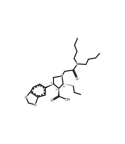 CCCCN(CCCC)C(=O)CN1C[C@H](c2ccc3c(c2)OCO3)[C@H](C(=O)O)[C@H]1CCC